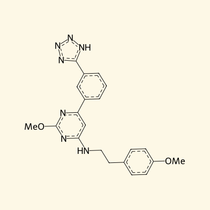 COc1ccc(CCNc2cc(-c3cccc(-c4nnn[nH]4)c3)nc(OC)n2)cc1